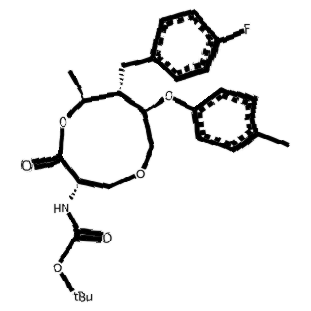 Cc1ccc(O[C@H]2COC[C@H](NC(=O)OC(C)(C)C)C(=O)O[C@@H](C)[C@@H]2Cc2ccc(F)cc2)cc1